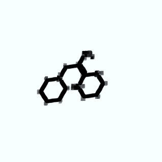 O=[N+]([O-])C(CN1CCCCC1)=C1NCCCS1